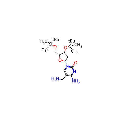 CC(C)(C)[Si](C)(C)OC[C@H]1O[C@@H](n2cc(CN)c(N)nc2=O)CC1O[Si](C)(C)C(C)(C)C